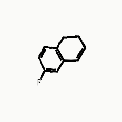 Fc1ccc2c(c1)C=CCC2